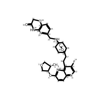 C[C@H]1COC[C@@H]1Oc1ccc2ncc(F)c(CCC34CCC(NCc5ccc6c(n5)NC(=O)CO6)(CC3)CO4)c2n1